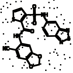 N#Cc1cc2c(cc1NC(=O)c1sccc1S(=O)(=O)Nc1ccc3nsnc3c1)OCO2